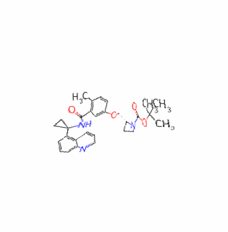 Cc1ccc(OC[C@H]2CCN2C(=O)OC(C)(C)C)cc1C(=O)NC1(c2cccc3ncccc23)CC1